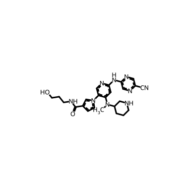 CN(c1cc(Nc2cnc(C#N)cn2)ncc1-n1ccc(C(=O)NCCCO)c1)C1CCCNC1